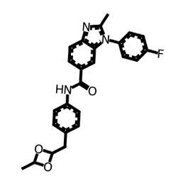 Cc1nc2ccc(C(=O)Nc3ccc(CC4OC(C)O4)cc3)cc2n1-c1ccc(F)cc1